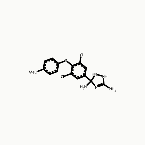 COc1ccc(Sc2c(Cl)cc(C3(N)N=C(N)NN3)cc2Cl)cc1